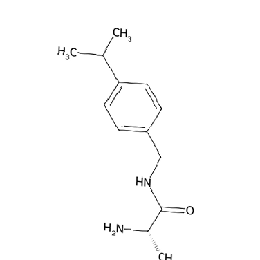 CC(C)c1ccc(CNC(=O)[C@H](C)N)cc1